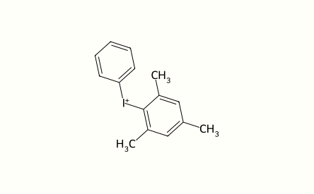 Cc1cc(C)c([I+]c2ccccc2)c(C)c1